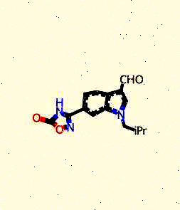 CC(C)Cn1cc(C=O)c2ccc(-c3noc(=O)[nH]3)cc21